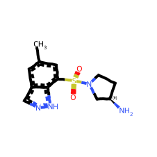 Cc1cc(S(=O)(=O)N2CC[C@@H](N)C2)c2[nH]ncc2c1